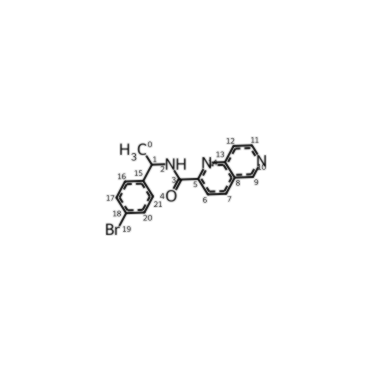 CC(NC(=O)c1ccc2cnccc2n1)c1ccc(Br)cc1